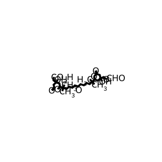 CC(C)(CCCCC(=O)CCCCC(C)(C)C1CC(O)(CC(=O)O)CC(=O)O1)C1CC(O)(COC=O)CC(=O)O1